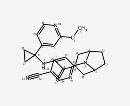 COc1cc(C2(NCC(=O)N3CC4CCC(C3)N4c3ccc(C#N)cn3)CC2)ccn1